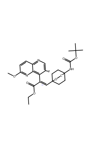 CCOC(=O)/C(=C/C12CCC(NC(=O)OC(C)(C)C)(CC1)CO2)c1c(F)cnc2ccc(OC)nc12